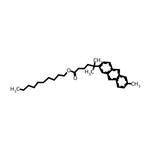 CCCCCCCCCCOC(=O)CCCC(C)(C)c1ccc2cc3cc(C)ccc3cc2c1